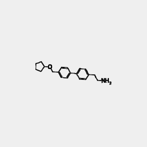 NCCc1ccc(-c2ccc(COC3CCCC3)cc2)cc1